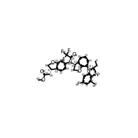 CCc1nc2c(F)cc(F)cc2n1-c1cccc2c1OC[C@H]2N(C(=O)C(F)(F)F)c1ccc2c(c1)OC[C@H]2CC(=O)OC